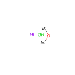 CCOC(C)=O.Cl.I